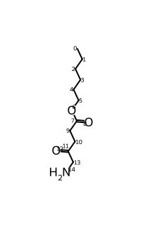 CCCCCCOC(=O)CCC(=O)CN